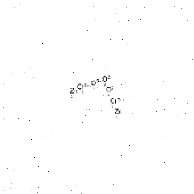 [Cr+3].[Cr+3].[O-2].[O-2].[O-2].[Zn].[Zn]